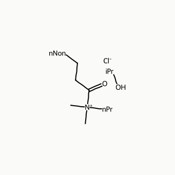 CC(C)O.CCCCCCCCCCCC(=O)[N+](C)(C)CCC.[Cl-]